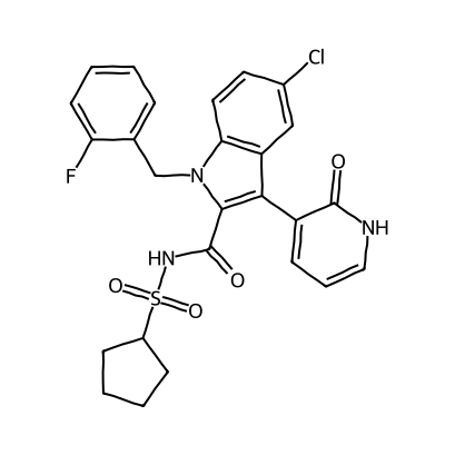 O=C(NS(=O)(=O)C1CCCC1)c1c(-c2ccc[nH]c2=O)c2cc(Cl)ccc2n1Cc1ccccc1F